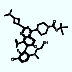 C=C(C)c1c(-c2c(N(C)CCO)ccc(Cl)c2F)c(Cl)cc2c(N3CCN(C(=O)OC(C)(C)C)CC3)nc(C3CC(N(C)C)C3)nc12